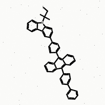 CC(C)(CI)n1c2ccccc2c2cc(-c3ccc(-c4c5ccccc5c(-c5ccc(-c6ccccc6)cc5)c5ccccc45)cc3)ccc21